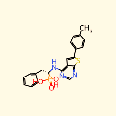 Cc1ccc(-c2cc3c(N[C@@H](Cc4ccccc4)P(=O)(O)O)ncnc3s2)cc1